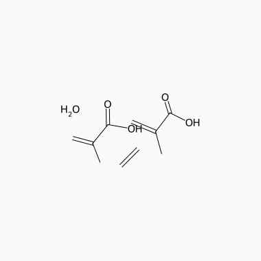 C=C.C=C(C)C(=O)O.C=C(C)C(=O)O.O